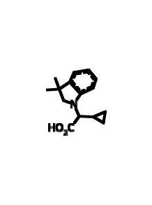 CC1(C)CN(C(C(=O)O)C2CC2)c2ccccc21